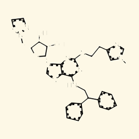 Cn1cnc(CCNc2nc(NCC(c3ccccc3)c3ccccc3)c3ncn([C@@H]4O[C@H](Cn5nccn5)[C@@H](O)[C@H]4O)c3n2)c1